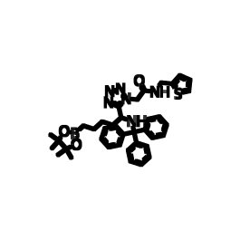 CC1(C)OB(CCCCC(NC(c2ccccc2)(c2ccccc2)c2ccccc2)c2nnnn2CC(=O)NCc2cccs2)OC1(C)C